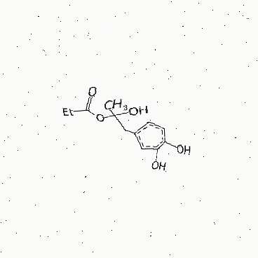 CCC(=O)OC(C)(O)Cc1ccc(O)c(O)c1